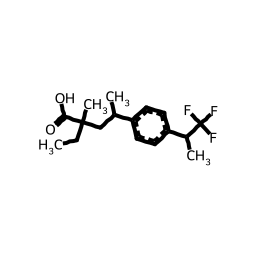 CCC(C)(CC(C)c1ccc(C(C)C(F)(F)F)cc1)C(=O)O